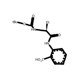 CC[C@H](NC(=O)OC(C)(C)C)C(=O)Nc1ccccc1C(=O)O